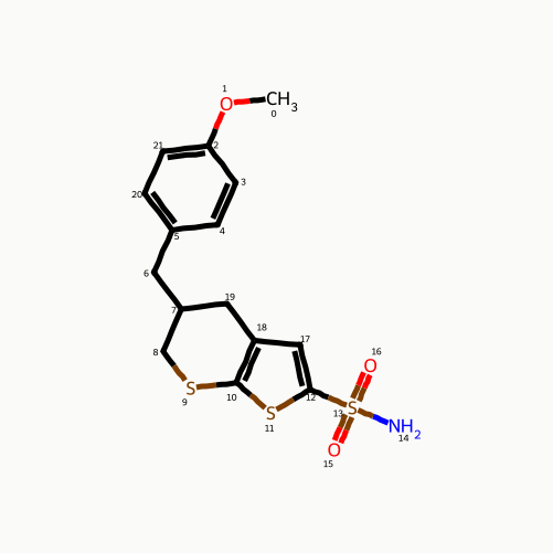 COc1ccc(CC2CSc3sc(S(N)(=O)=O)cc3C2)cc1